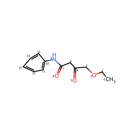 CCOCC(=O)CC(=O)Nc1ccccc1